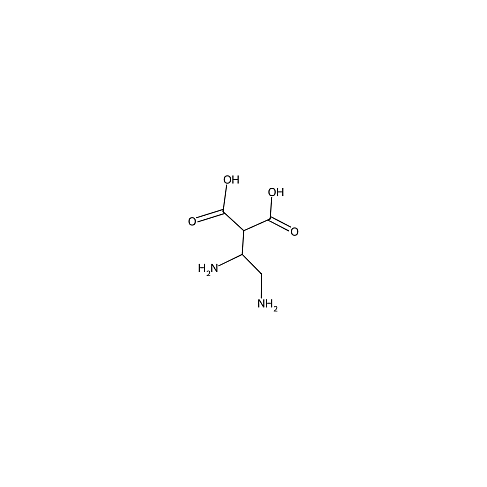 NCC(N)C(C(=O)O)C(=O)O